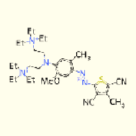 CC[N+](CC)(CC)CCN(CC[N+](CC)(CC)CC)c1cc(C)c(/N=N/c2sc(C#N)c(C)c2C#N)cc1OC